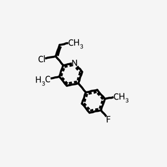 C/C=C(/Cl)c1ncc(-c2ccc(F)c(C)c2)cc1C